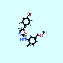 CCOCc1ccc(C)c(Nc2ncc(-c3ccc(Br)cc3)o2)c1